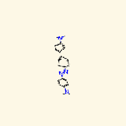 CN(C)c1ccc(N=Nc2ccc(-c3ccc(N(C)C)cc3)cc2)cc1